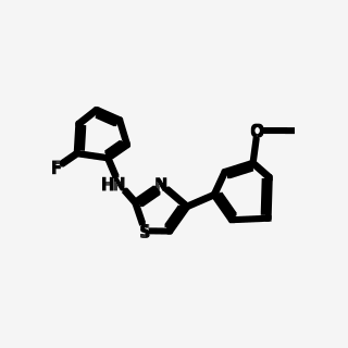 COc1cccc(-c2csc(Nc3ccccc3F)n2)c1